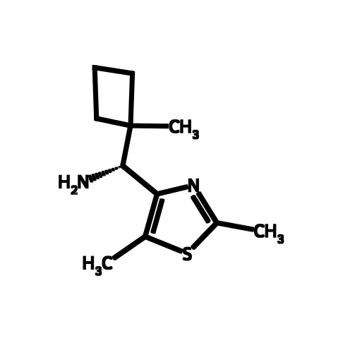 Cc1nc([C@H](N)C2(C)CCC2)c(C)s1